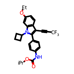 CCOc1ccc2c(C#CC(F)(F)F)c(-c3ccc(NC(=O)OC(C)C)cc3)n(C3CCC3)c2c1